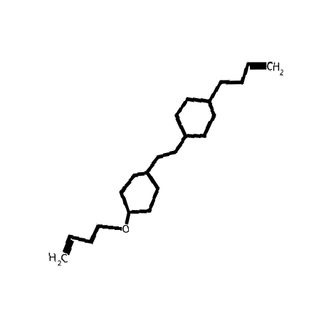 C=CCCOC1CCC(CCC2CCC(CCC=C)CC2)CC1